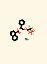 O=C(OC(COCC(F)(F)S(=O)(=O)O)c1ccccc1)c1cccc2ccccc12.[Na]